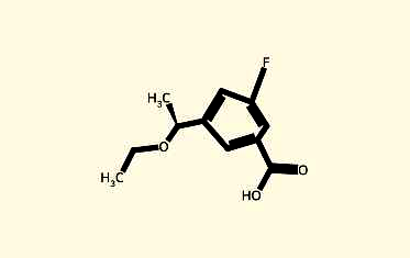 CCO[C@@H](C)c1cc(F)cc(C(=O)O)c1